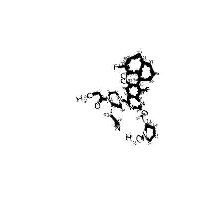 C=CC(=O)N1CCN(c2nc(OC[C@@H]3CCCN3C)nc3c(F)c(-c4cccc5ccc(F)c(Cl)c45)c(Cl)cc23)C[C@@H]1CC#N